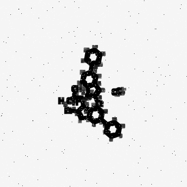 CCC1=Cc2cc(-c3ccccc3)ccc2[CH]1[Zr+2]([CH]1C(CC)=Cc2cc(-c3ccccc3)ccc21)[SiH](C)C.[Cl-].[Cl-]